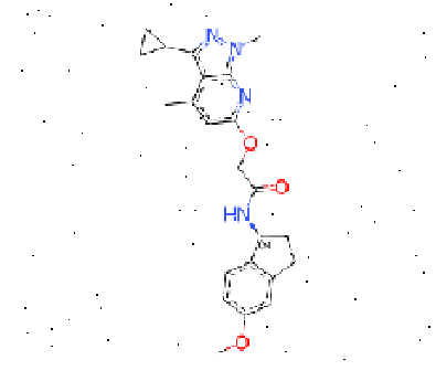 COc1ccc2c(c1)CC[C@@H]2NC(=O)COc1cc(C)c2c(C3CC3)nn(C)c2n1